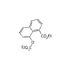 CCOC(=O)Oc1cccc2cccc(C(=O)OCC)c12